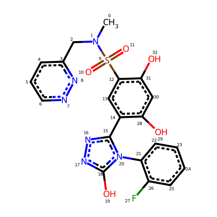 CN(Cc1cccnn1)S(=O)(=O)c1cc(-c2nnc(O)n2-c2ccccc2F)c(O)cc1O